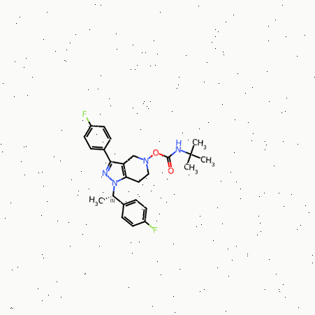 C[C@@H](c1ccc(F)cc1)n1nc(-c2ccc(F)cc2)c2c1CCN(OC(=O)NC(C)(C)C)C2